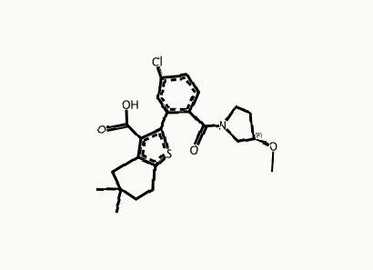 CO[C@@H]1CCN(C(=O)c2ccc(Cl)cc2-c2sc3c(c2C(=O)O)CC(C)(C)CC3)C1